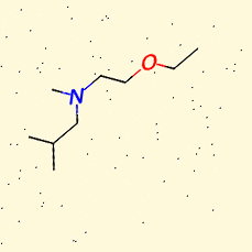 CCOCCN(C)CC(C)C